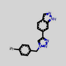 CC(C)c1ccc(Cn2cc(-c3ccc4cn[nH]c4c3)nn2)cc1